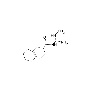 CNC(N)NC(=O)C1CCC2=C(CCCC2)C1